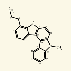 CCCc1cccc2c1oc1ccc3c(c4ccccc4n3C)c12